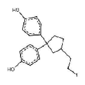 Oc1ccc(C2(c3ccc(O)cc3)CCC(CCI)C2)cc1